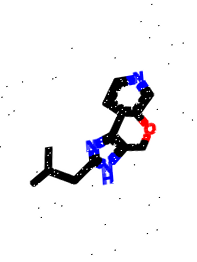 CC(C)Cc1nc2c([nH]1)COc1cnccc1-2